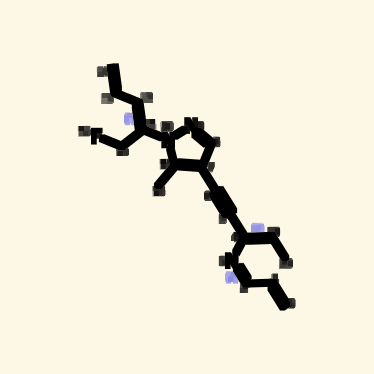 C=C/C=N\C(C#Cc1cnn(/C(=C/C=C)CF)c1C)=C/C